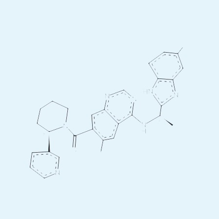 C[C@@H](Nc1ncnc2cc(C(=O)N3CCCC[C@@H]3c3cccnc3)c(Cl)cc12)c1nc2cc(Cl)ccc2[nH]1